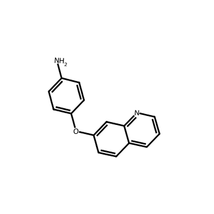 Nc1ccc(Oc2ccc3cccnc3c2)cc1